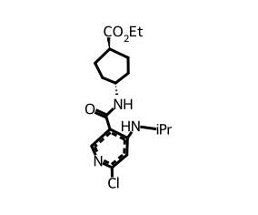 CCOC(=O)[C@H]1CC[C@H](NC(=O)c2cnc(Cl)cc2NC(C)C)CC1